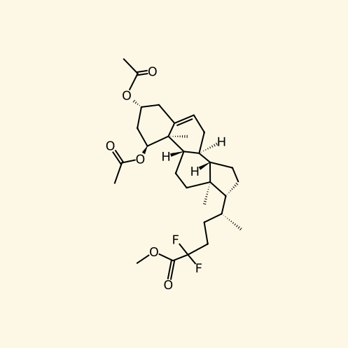 COC(=O)C(F)(F)CC[C@@H](C)[C@H]1CC[C@H]2[C@@H]3CC=C4C[C@@H](OC(C)=O)C[C@H](OC(C)=O)[C@]4(C)[C@H]3CC[C@]12C